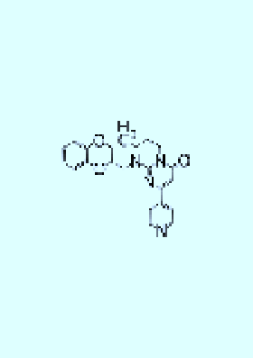 CC1CCn2c(nc(-c3ccncc3)cc2=O)N1CC1COc2ccccc2O1